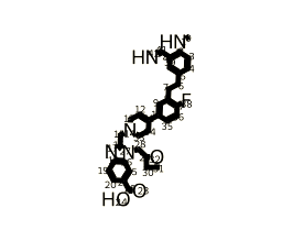 CNc1ccc(CCc2cc(C3=CCN(Cc4nc5ccc(C(=O)O)cc5n4CC4CCO4)CC3)ccc2F)cc1C=N